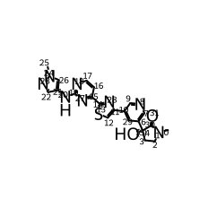 CN1CC[C@](O)(c2cncc(-c3csc(-c4ccnc(Nc5cnn(C)c5)n4)n3)c2)C1=O